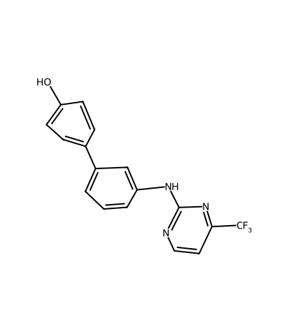 Oc1ccc(-c2cccc(Nc3nccc(C(F)(F)F)n3)c2)cc1